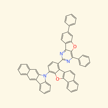 c1ccc(-c2ccc3c(c2)oc2c(-c4ccccc4)nc(-c4ccc(-n5c6ccccc6c6cc7ccccc7cc65)c5oc6c7ccccc7ccc6c45)nc23)cc1